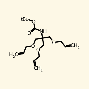 C=CCOCC(COCC=C)(COCC=C)NC(=O)OC(C)(C)C